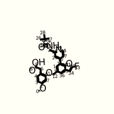 COc1ccc(CC(=O)O)c(OCc2cc(-c3ccnc(CN[S@@+]([O-])C(C)(C)C)c3)c3oc(F)cc3c2)c1